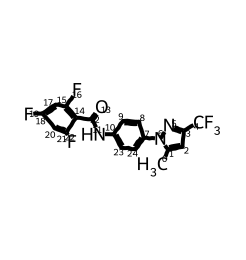 Cc1cc(C(F)(F)F)nn1-c1ccc(NC(=O)c2c(F)cc(F)cc2F)cc1